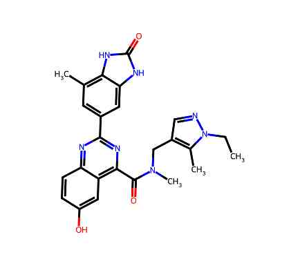 CCn1ncc(CN(C)C(=O)c2nc(-c3cc(C)c4[nH]c(=O)[nH]c4c3)nc3ccc(O)cc23)c1C